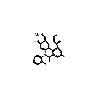 C=C(/C=C\C)c1cc(C)cc(C(C)Nc2ccccc2C)c1C1=C/C(=C/NC)C(=N)C=C1